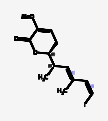 COC1=CC[C@@H]([C@@H](C)/C=C(C)/C=C\I)OC1=O